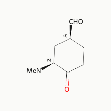 CN[C@H]1C[C@@H](C=O)CCC1=O